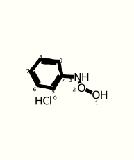 Cl.OONc1ccccc1